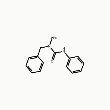 CCCCN(Cc1ccccc1)C(=O)Nc1ccccc1